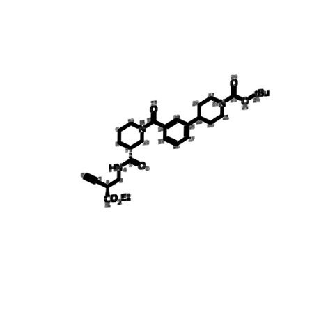 C#C[C@@H](CNC(=O)[C@@H]1CCCN(C(=O)c2cccc(C3CCN(C(=O)OC(C)(C)C)CC3)c2)C1)C(=O)OCC